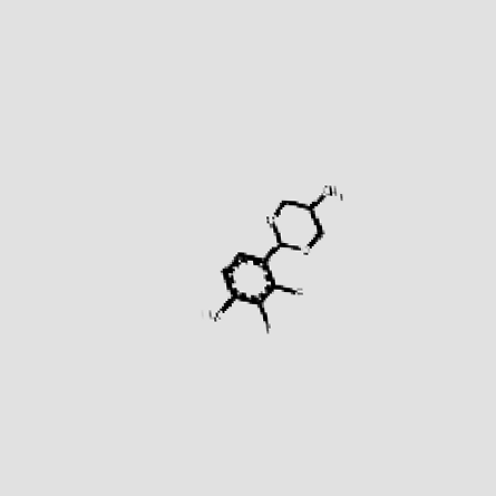 Cc1ccc(C2OCC(C)CO2)c(F)c1F